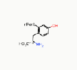 CCCCCc1cc(O)ccc1C[C@H](N)C(=O)O